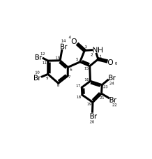 O=C1NC(=O)C(c2ccc(Br)c(Br)c2Br)=C1c1ccc(Br)c(Br)c1Br